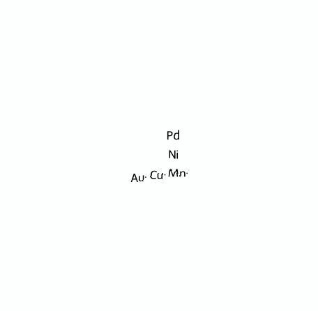 [Au].[Cu].[Mn].[Ni].[Pd]